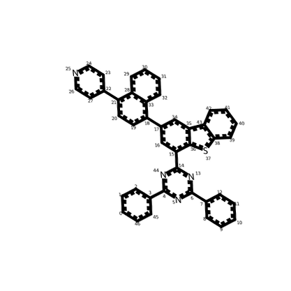 c1ccc(-c2nc(-c3ccccc3)nc(-c3cc(-c4ccc(-c5ccncc5)c5ccccc45)cc4c3sc3ccccc34)n2)cc1